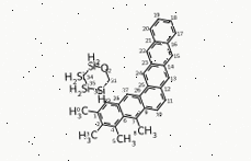 Cc1c(C)c(C)c2c(C)c3ccc4cc5cc6ccccc6cc5cc4c3cc2c1[SiH]1CO[SiH2][SiH2][SiH2]1